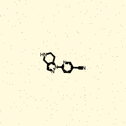 N#Cc1ccc(-n2ncc3c2CCNC3)nc1